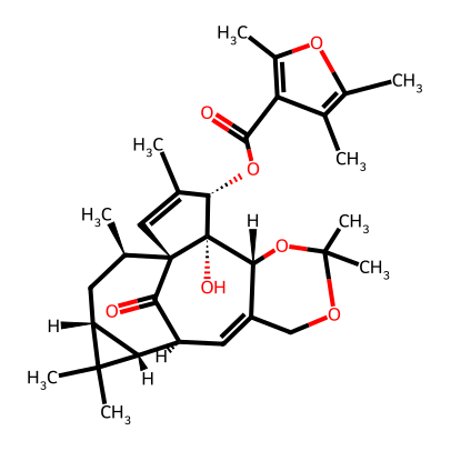 CC1=C[C@]23C(=O)[C@@H](C=C4COC(C)(C)O[C@H]4[C@]2(O)[C@H]1OC(=O)c1c(C)oc(C)c1C)[C@H]1[C@@H](C[C@H]3C)C1(C)C